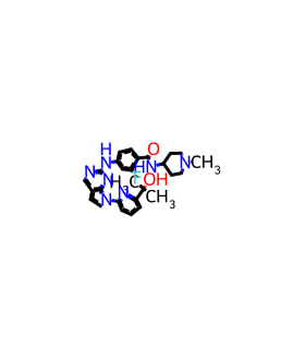 CN1CCC(NC(=O)c2ccc(Nc3ncc4ccn(-c5cccc(C(C)(C)O)n5)c4n3)cc2F)CC1